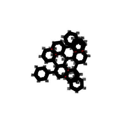 c1ccc(-c2ccccc2N(c2c3c(cc(-c4ccccc4)c2-c2ccccc2)-c2ccccc2C3)c2c(-c3ccccc3)ccc3oc4ccccc4c23)cc1